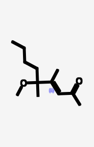 CCCCC(C)(OC)/C(C)=C/C(C)=O